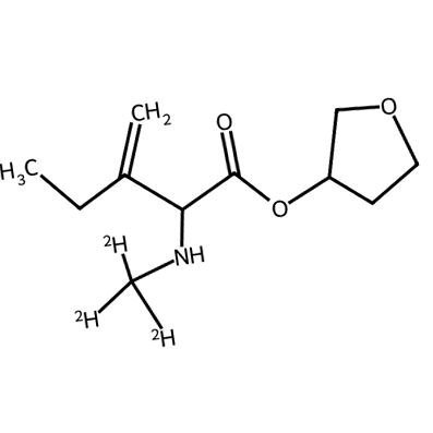 [2H]C([2H])([2H])NC(C(=C)CC)C(=O)OC1CCOC1